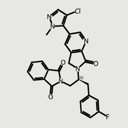 Cn1ncc(Cl)c1-c1cnc2c(c1)CN([C@@H](Cc1cccc(F)c1)CN1C(=O)c3ccccc3C1=O)C2=O